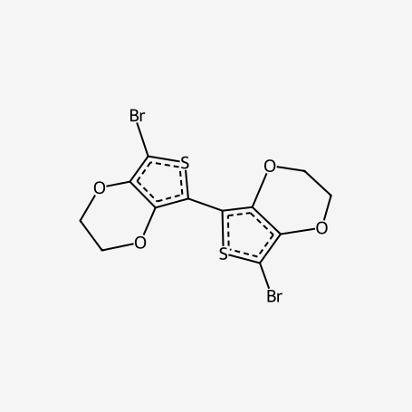 Brc1sc(-c2sc(Br)c3c2OCCO3)c2c1OCCO2